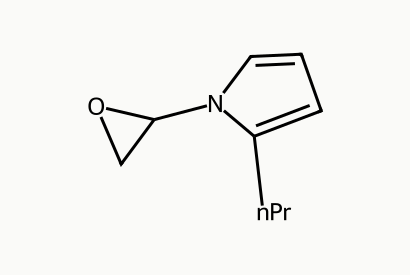 CCCc1cccn1C1CO1